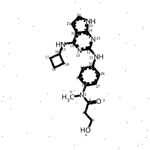 CN(C(=O)CCO)c1ccc(Nc2nc(NC3CCC3)c3cc[nH]c3n2)cc1